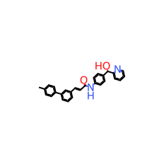 Cc1ccc(-c2cccc(/C=C/C(=O)Nc3ccc(C(O)c4ccccn4)cc3)c2)cc1